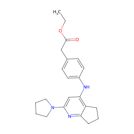 CCOC(=O)Cc1ccc(Nc2cc(N3CCCC3)nc3c2CCC3)cc1